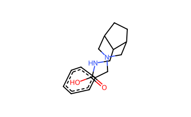 O=C(O)NCC1C2CCC1CN(Cc1ccccc1)C2